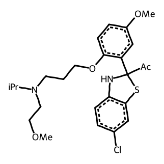 COCCN(CCCOc1ccc(OC)cc1C1(C(C)=O)Nc2ccc(Cl)cc2S1)C(C)C